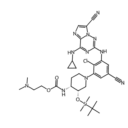 CN(C)CCOC(=O)N[C@@H]1CCN(c2cc(C#N)cc(Nc3nc(NC4CC4)c4ncc(C#N)n4n3)c2Cl)C[C@@H]1O[Si](C)(C)C(C)(C)C